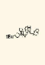 CC(C)(C)c1ccc(-n2ncc(NC[C@@H]3CCCOC3)c(Cl)c2=O)cc1